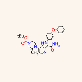 C[C@H]1CN(C(=O)OC(C)(C)C)CCN1c1ccnc2c(C(N)=O)n(-c3ccc(Oc4ccccc4)cc3)nc12